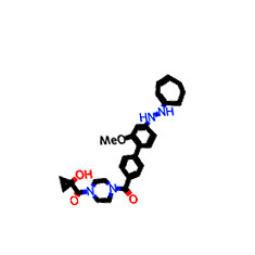 COc1cc(NNC2=CC=CCCC2)ccc1-c1ccc(C(=O)N2CCN(C(=O)C3(O)CC3)CC2)cc1